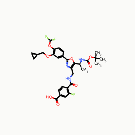 CC(NC(=O)OC(C)(C)C)c1oc(-c2ccc(OC(F)F)c(OCC3CC3)c2)nc1CNC(=O)c1ccc(C(=O)O)cc1F